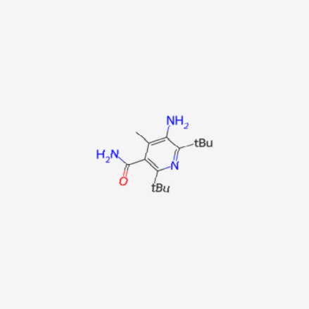 Cc1c(N)c(C(C)(C)C)nc(C(C)(C)C)c1C(N)=O